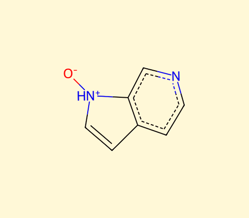 [O-][NH+]1C=Cc2ccncc21